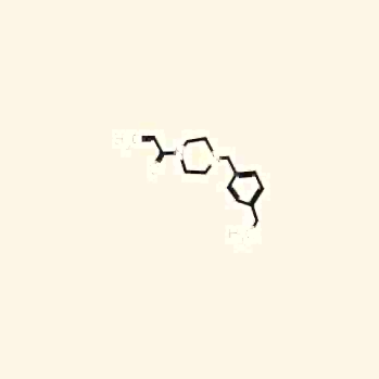 C=CC(=O)N1CCN(Cc2ccc(CC)cc2)CC1